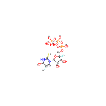 O=c1[nH]c(=S)n([C@@H]2O[C@](F)(COP(=O)(O)OP(=O)(O)OP(=O)(O)O)[C@@H](O)[C@H]2O)cc1F